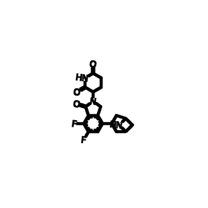 O=C1CCC(N2Cc3c(C4CC5CC(C4)N5)cc(F)c(F)c3C2=O)C(=O)N1